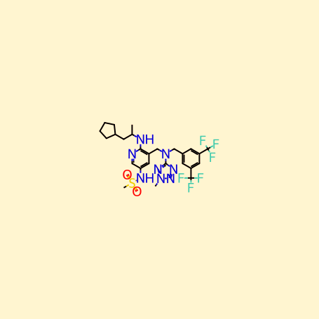 CC(CC1CCCC1)Nc1ncc(NS(C)(=O)=O)cc1CN(Cc1cc(C(F)(F)F)cc(C(F)(F)F)c1)c1nnn(C)n1